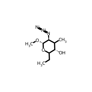 CCC1O[C@H](OC)[C@@H](N=[N+]=[N-])C(C)[C@@H]1O